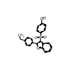 CCc1ccc(-c2oc3ccccc3c2S(=O)(=O)c2ccc(O)cc2)cc1